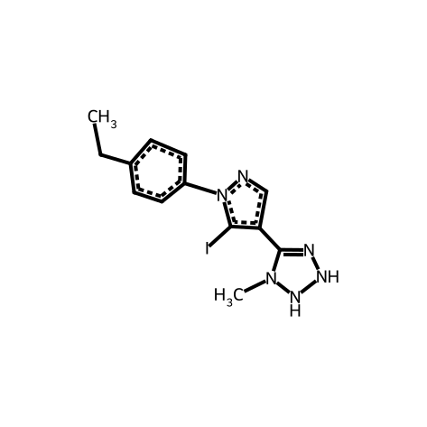 CCc1ccc(-n2ncc(C3=NNNN3C)c2I)cc1